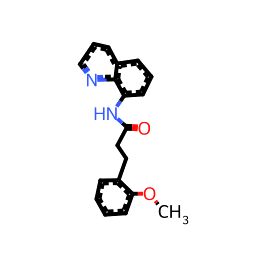 COc1ccccc1CCC(=O)Nc1cccc2cccnc12